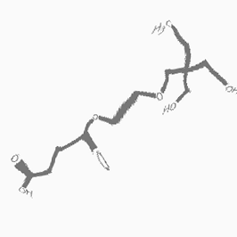 CCC(CO)(CO)COCCOC(=O)CCC(=O)O